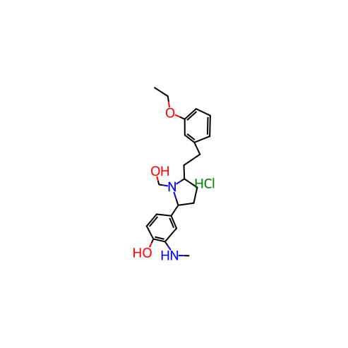 CCOc1cccc(CCC2CCC(c3ccc(O)c(NC)c3)N2CO)c1.Cl